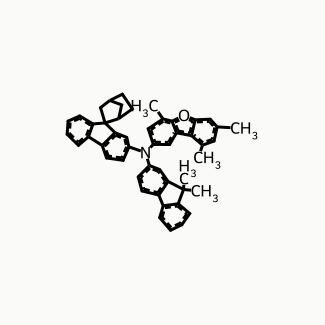 Cc1cc(C)c2c(c1)oc1c(C)cc(N(c3ccc4c(c3)C(C)(C)c3ccccc3-4)c3ccc4c(c3)C3(CC5CCC3C5)c3ccccc3-4)cc12